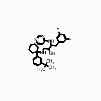 CC(C)(C)c1cccc(C2(NCC(O)C(Cc3cc(F)cc(F)c3)Nc3ccncn3)CCCCC2)c1